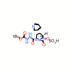 CC(C)(C)OC(=O)NNC(=O)[C@@H]1CC[C@@H]2CN1C(=O)N2OS(=O)(=O)O.c1ccncc1